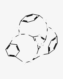 c1cc2ccc1OB1Oc3ccc(cc3)OB3Oc4ccc(cc4)OB(O2)Oc2nc(nc(n2)O3)O1